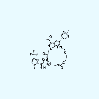 CC(=O)c1nn2c3c(cc(-c4cnc(C)nc4)cc13)NCCCCCC(=O)NC[C@@]13C4[C@@H](C(=O)Nc5nc(C(F)(F)F)ccc5C)N(C(=O)C2)[C@@H]1[C@]43C